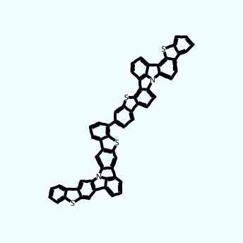 c1ccc2c(c1)sc1cc3c4cccc5c6cc7sc8c(-c9ccc%10c(c9)sc9c%10ccc%10c9c9cccc%11c%12c%13sc%14ccccc%14c%13ccc%12n%10c%119)cccc8c7cc6n(c3cc12)c45